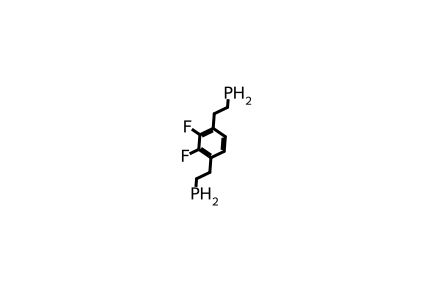 Fc1c(CCP)ccc(CCP)c1F